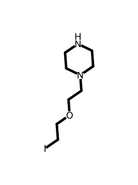 ICCOCCN1CCNCC1